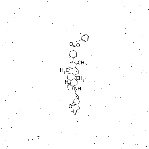 CCC1CN(CCNC23CCC[C@@H]2C2CCC4C5(C)CC=C(C6=CCC(C(=O)OCc7ccccc7)CC6)C(C)C5CCC4(C)C2CC3)C[S+]1[O-]